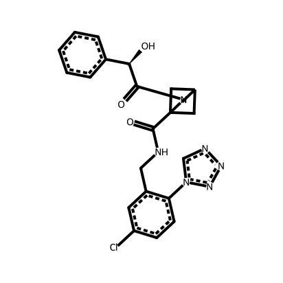 O=C([C@H](O)c1ccccc1)N1CC2CC1(C(=O)NCc1cc(Cl)ccc1-n1cnnn1)C2